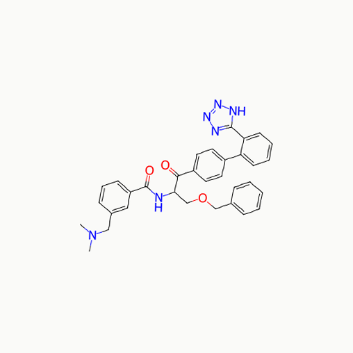 CN(C)Cc1cccc(C(=O)NC(COCc2ccccc2)C(=O)c2ccc(-c3ccccc3-c3nnn[nH]3)cc2)c1